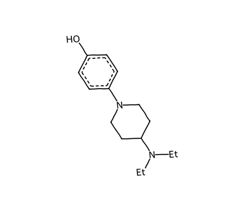 CCN(CC)C1CCN(c2ccc(O)cc2)CC1